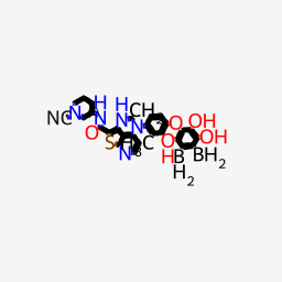 Bc1c(B)c(O)c(Oc2ccc(-n3c(=C)[nH]c4c(C(=O)N[C@@H]5CCCN(C#N)C5)sc5nccc3c54)c(C)c2)c(O)c1O